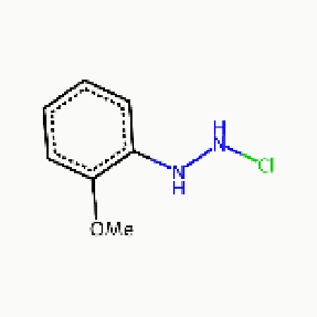 COc1ccccc1NNCl